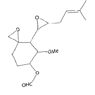 COC1C(OC=O)CCC2(CO2)C1C1O[C@@H]1CC=C(C)C